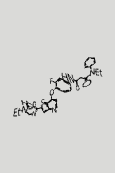 C=C(/N=C\N(C)CC)c1cc2nccc(Oc3ccc(NC(=O)CC(=O)N(CC)c4ccccc4)cc3F)c2s1